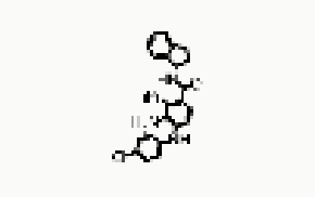 CC(C)c1c(C(=O)N[C@H]2CCc3ccccc32)ccc(Nc2ccc(Cl)cc2)c1N